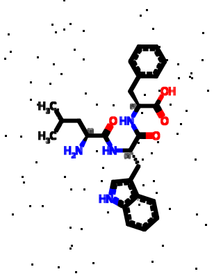 CC(C)C[C@H](N)C(=O)N[C@@H](Cc1c[nH]c2ccccc12)C(=O)N[C@@H](Cc1ccccc1)C(=O)O